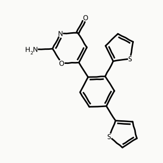 Nc1nc(=O)cc(-c2ccc(-c3cccs3)cc2-c2cccs2)o1